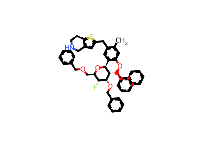 Cc1cc(OCc2ccccc2)c([C@@H]2O[C@H](COCc3ccccc3)[C@@H](F)[C@H](OCc3ccccc3)[C@H]2OCc2ccccc2)cc1Cc1cc2c(s1)CCNC2